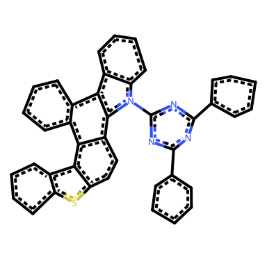 c1ccc(-c2nc(-c3ccccc3)nc(-n3c4ccccc4c4c5ccccc5c5c(ccc6sc7ccccc7c65)c43)n2)cc1